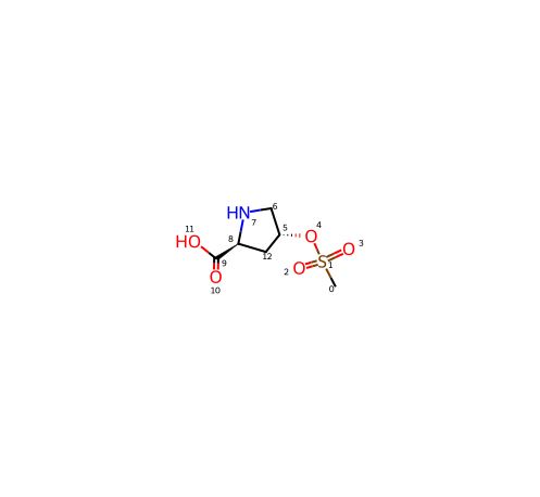 CS(=O)(=O)O[C@H]1CN[C@H](C(=O)O)C1